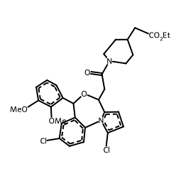 CCOC(=O)CC1CCN(C(=O)CC2OC(c3cccc(OC)c3OC)c3cc(Cl)ccc3-n3c(Cl)ccc32)CC1